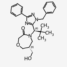 CC(C)(C)[C@H](c1nc(-c2ccccc2)nn1Cc1ccccc1)N1C[C@H](CO)COCC1=O